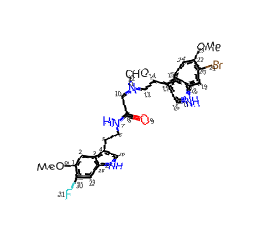 COc1cc2c(CCNC(=O)CN(C=O)CCc3c[nH]c4cc(Br)c(OC)cc34)c[nH]c2cc1F